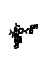 CC(C)CN(CC(C)C)c1ccc(C(C)CC(=O)O)cc1Nc1nc(N2CCC2)ns1